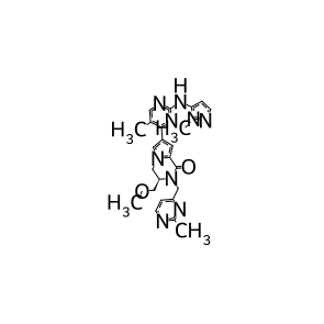 COC[C@H]1Cn2cc(-c3nc(Nc4ccnn4C)ncc3C)cc2C(=O)N1Cc1ccnc(C)n1